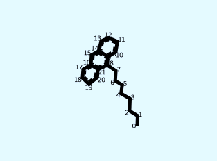 CCCCCCCCc1c2[c]cccc2cc2ccccc12